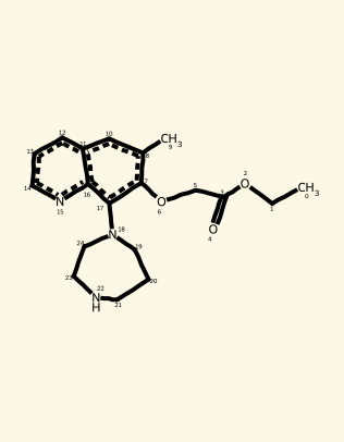 CCOC(=O)COc1c(C)cc2cccnc2c1N1CCCNCC1